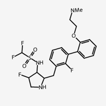 CNCCOc1ccccc1-c1cccc(CC2NCC(F)C2NS(=O)(=O)C(F)F)c1F